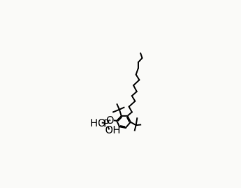 CCCCCCCCCCCCc1c(C(C)(C)C)ccc(OP(O)O)c1C(C)(C)C